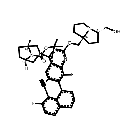 C#Cc1c(F)ccc2cccc(-c3c(F)cc4c(N5C[C@H]6CC[C@@H](C5)N6C(=O)OC(C)(C)C)nc(OC[C@@]56CCCN5[C@H](CO)CC6)nc4c3F)c12